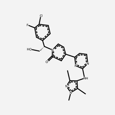 Cc1nn(C)c(C)c1Nc1nccc(-c2ccn([C@H](CO)c3ccc(Cl)c(F)c3)c(=O)c2)n1